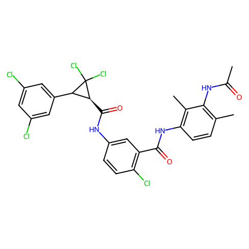 CC(=O)Nc1c(C)ccc(NC(=O)c2cc(NC(=O)[C@H]3C(c4cc(Cl)cc(Cl)c4)C3(Cl)Cl)ccc2Cl)c1C